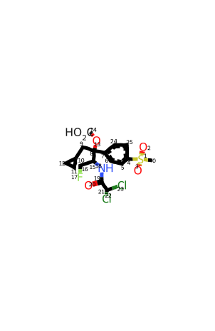 CS(=O)(=O)c1ccc(C(CC2CC2)(OC(=O)O)C(CF)NC(=O)C(Cl)Cl)cc1